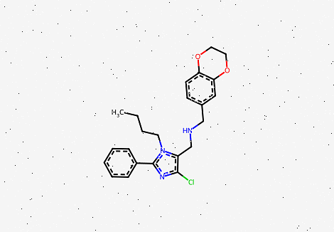 CCCCn1c(-c2ccccc2)nc(Cl)c1CNCc1ccc2c(c1)OCCO2